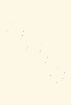 c1ccc(COc2ccc(N3CCCNCC3)nc2)cc1